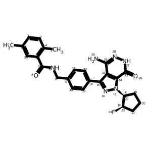 Cc1ccc(C)c(C(=O)NCc2ccc(-c3nn([C@H]4CCC[C@H]4F)c4c(=O)[nH]nc(N)c34)cc2)c1